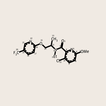 CCN(C(=O)c1nc(OC)ccc1Cl)C(C)COc1ccc(C(F)(F)F)cn1